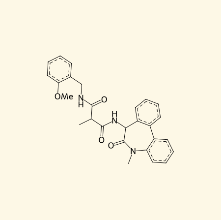 COc1ccccc1CNC(=O)C(C)C(=O)NC1C(=O)N(C)c2ccccc2-c2ccccc21